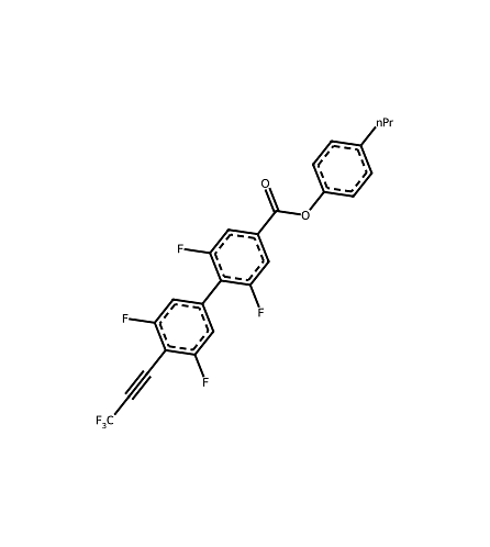 CCCc1ccc(OC(=O)c2cc(F)c(-c3cc(F)c(C#CC(F)(F)F)c(F)c3)c(F)c2)cc1